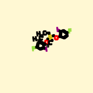 CCS(CC)(COc1ccc(F)cc1I)COc1c(C)cc(F)cc1I